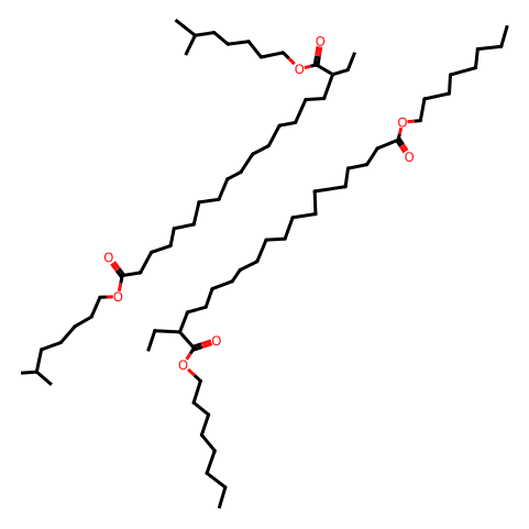 CCC(CCCCCCCCCCCCCCCC(=O)OCCCCCC(C)C)C(=O)OCCCCCC(C)C.CCCCCCCCOC(=O)CCCCCCCCCCCCCCCC(CC)C(=O)OCCCCCCCC